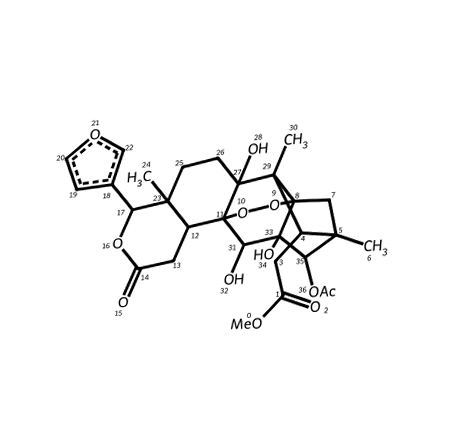 COC(=O)CC1C2(C)CC34OOC5(C6CC(=O)OC(c7ccoc7)C6(C)CCC5(O)C13C)C(O)C4(O)C2OC(C)=O